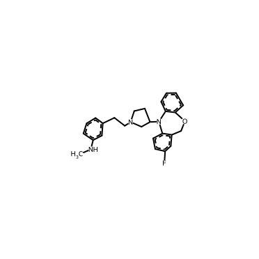 CNc1cccc(CCN2CCC(N3c4ccc(F)cc4COc4ccccc43)C2)c1